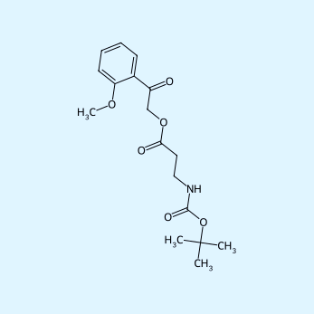 COc1ccccc1C(=O)COC(=O)CCNC(=O)OC(C)(C)C